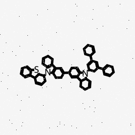 C1=CC(C2=CC(C3C=CCCC3)=CC(N3C4=CCC(C5=Cc6c7c(n(C8CC=CC9c%10ccccc%10SC98)c6CC5)C=CCC7)C=C4C4CCC=CC43)C2)=CCC1